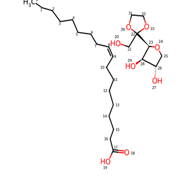 CCCCCCCC/C=C\CCCCCCCC(=O)O.OCC1([C@H]2OC[C@H](O)[C@H]2O)OCCO1